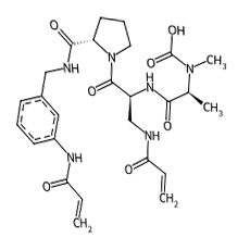 C=CC(=O)NC[C@H](NC(=O)[C@H](C)N(C)C(=O)O)C(=O)N1CCC[C@H]1C(=O)NCc1cccc(NC(=O)C=C)c1